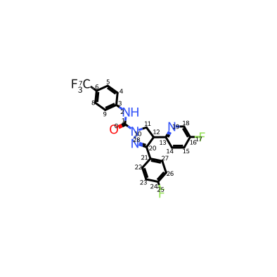 O=C(Nc1ccc(C(F)(F)F)cc1)N1CC(c2ccc(F)cn2)C(c2ccc(F)cc2)=N1